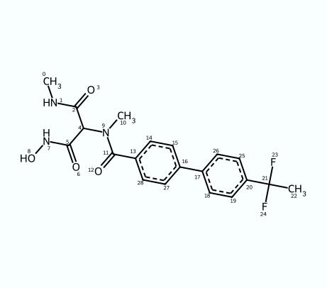 CNC(=O)C(C(=O)NO)N(C)C(=O)c1ccc(-c2ccc(C(C)(F)F)cc2)cc1